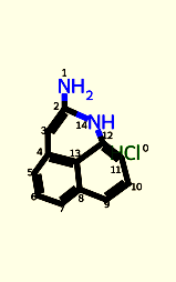 Cl.NC1=Cc2cccc3cccc(c23)N1